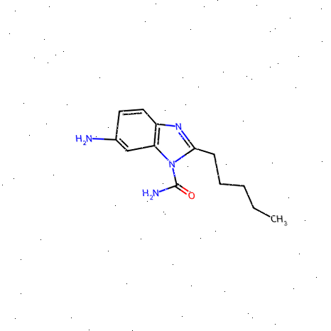 CCCCCc1nc2ccc(N)cc2n1C(N)=O